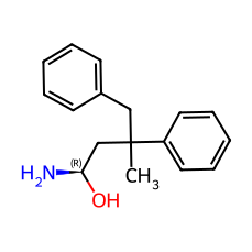 CC(Cc1ccccc1)(C[C@H](N)O)c1ccccc1